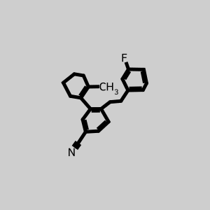 CC1=C(c2cc(C#N)ccc2CCc2cccc(F)c2)CCCC1